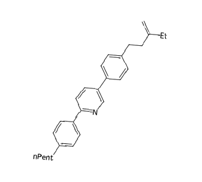 C=C(CC)CCc1ccc(-c2ccc(-c3ccc(CCCCC)cc3)nc2)cc1